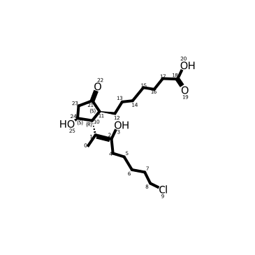 CC(=C(O)CCCCCCl)[C@H]1[C@H](CCCCCCC(=O)O)C(=O)C[C@@H]1O